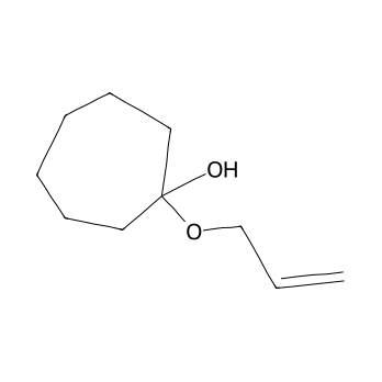 C=CCOC1(O)CCCCCC1